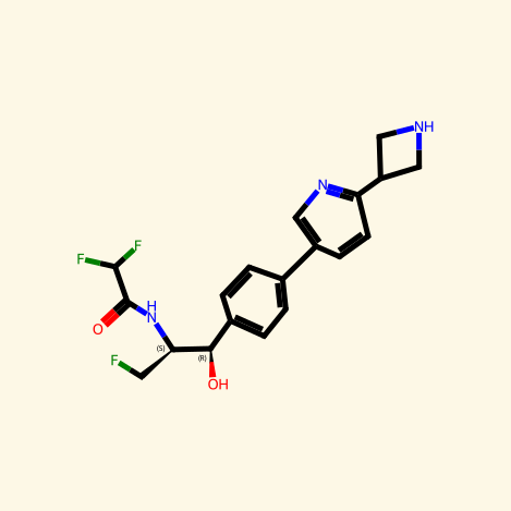 O=C(N[C@H](CF)[C@H](O)c1ccc(-c2ccc(C3CNC3)nc2)cc1)C(F)F